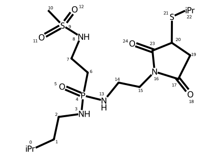 CC(C)CCNP(=O)(CCNS(C)(=O)=O)NCCN1C(=O)CC(SC(C)C)C1=O